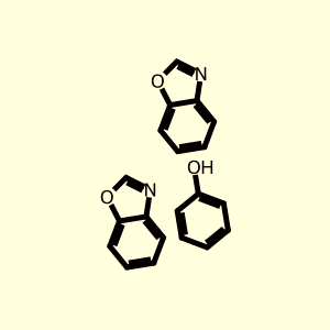 Oc1ccccc1.c1ccc2ocnc2c1.c1ccc2ocnc2c1